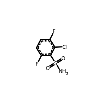 NS(=O)(=O)c1c(F)ccc(F)c1Cl